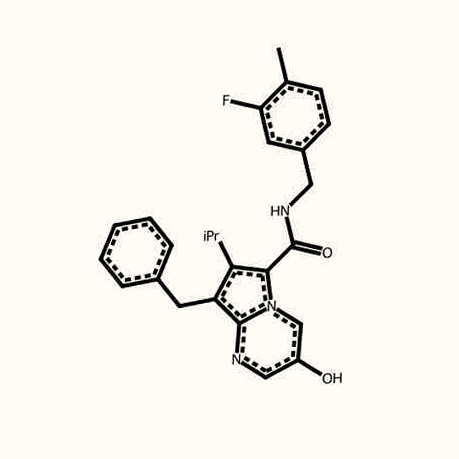 Cc1ccc(CNC(=O)c2c(C(C)C)c(Cc3ccccc3)c3ncc(O)cn23)cc1F